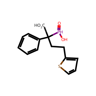 O=C(O)C(CCc1cccs1)(c1ccccc1)[PH](=O)O